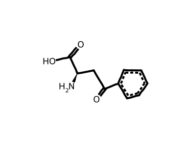 N[C@H](CC(=O)c1ccccc1)C(=O)O